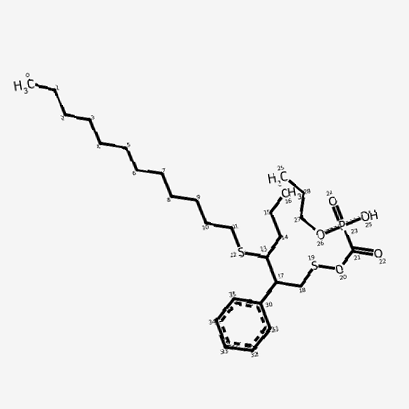 CCCCCCCCCCCCSC(CCC)C(CSOC(=O)P(=O)(O)OCCC)c1ccccc1